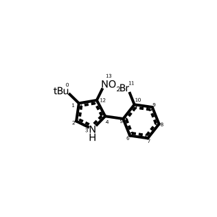 CC(C)(C)c1c[nH]c(-c2ccccc2Br)c1[N+](=O)[O-]